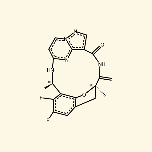 C=C1NC(=O)c2cnn3ccc(nc23)N[C@H](C)c2c(F)c(F)cc3c2O[C@]1(C)C3